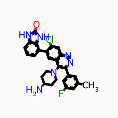 Cc1cc(F)cc(-c2nnc3cc(Cl)c(-c4cccc5[nH]c(=O)[nH]c45)cc3c2N2CCC(N)CC2)c1